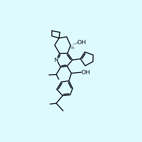 CC(C)c1ccc(C(O)c2c(C(C)C)nc3c(c2C2=CCCC2)[C@@H](O)CC2(CCC2)C3)cc1